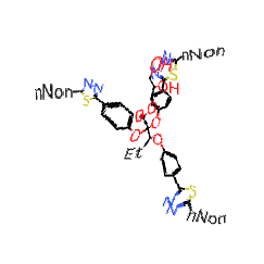 CCCCCCCCCc1nnc(-c2ccc(OC(CC)C(Oc3ccc(-c4nnc(CCCCCCCCC)s4)cc3)(Oc3ccc(-c4nnc(CCCCCCCCC)s4)cc3)C(=O)OCC(O)CO)cc2)s1